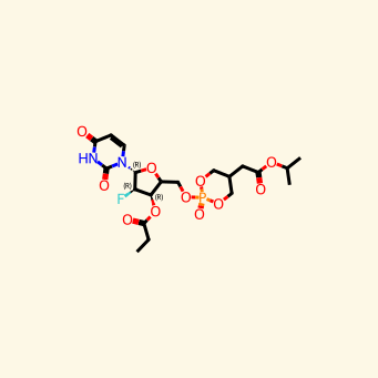 CCC(=O)O[C@@H]1C(COP2(=O)OCC(CC(=O)OC(C)C)CO2)O[C@@H](n2ccc(=O)[nH]c2=O)[C@@H]1F